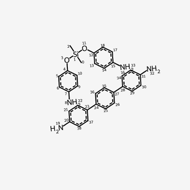 C[Si](C)(Oc1ccc(N)cc1)Oc1ccc(N)cc1.Nc1ccc(-c2ccc(-c3ccc(N)cc3)cc2)cc1